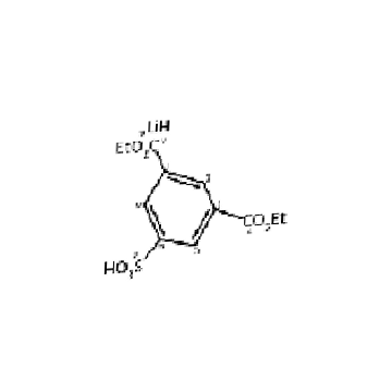 CCOC(=O)c1cc(C(=O)OCC)cc(S(=O)(=O)O)c1.[LiH]